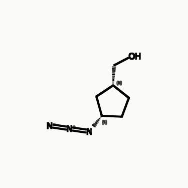 [N-]=[N+]=N[C@H]1CC[C@@H](CO)C1